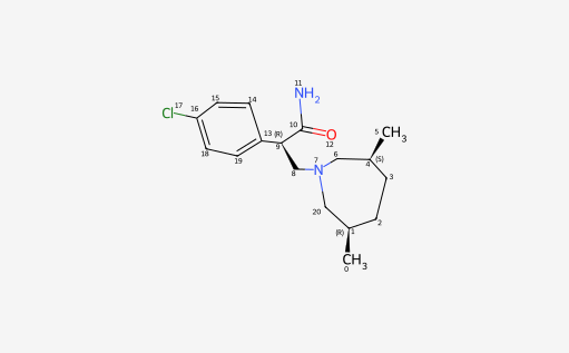 C[C@@H]1CC[C@H](C)CN(C[C@H](C(N)=O)c2ccc(Cl)cc2)C1